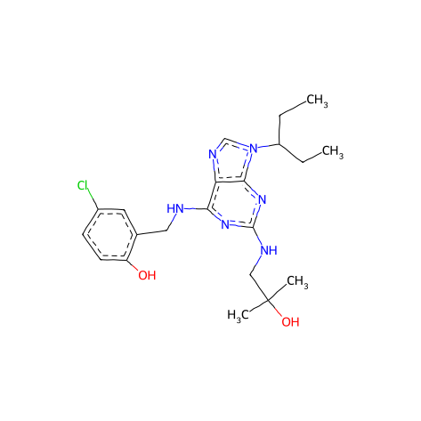 CCC(CC)n1cnc2c(NCc3cc(Cl)ccc3O)nc(NCC(C)(C)O)nc21